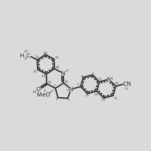 CO[C@@]12CCN(c3ccc4nc(C#N)ccc4c3)C1=Nc1ccc(C)cc1C2=O